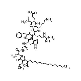 CCCCCCCCCCCCCCCC(=O)N[C@H](C(=O)N[C@@H](C)C(=O)NCC(=O)N[C@@H](Cc1cnc[nH]1)C(=O)N[C@@H](Cc1ccccc1)C(=O)N[C@@H](CCCNC(=N)N)C(=O)N[C@@H](CCCCN)C(=O)N[C@@H](CCC(=O)O)C(=O)NC)[C@@H](C)CC